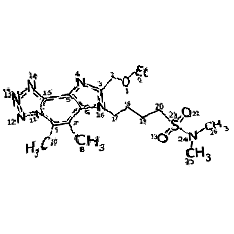 CCOCc1nc2c(c(C)c(C)n3nnnc23)n1CCCCS(=O)(=O)N(C)C